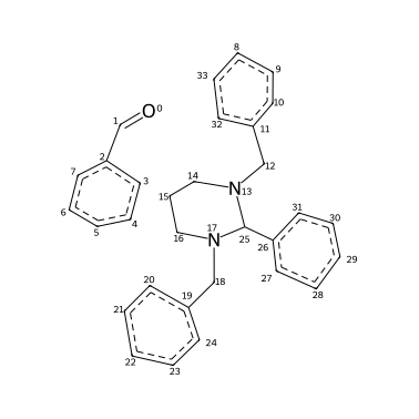 O=Cc1ccccc1.c1ccc(CN2CCCN(Cc3ccccc3)C2c2ccccc2)cc1